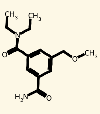 CCN(CC)C(=O)c1cc(COC)cc(C(N)=O)c1